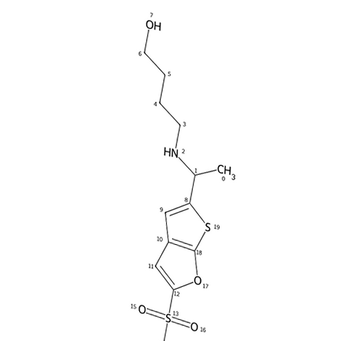 CC(NCCCCO)c1cc2cc(S(N)(=O)=O)oc2s1